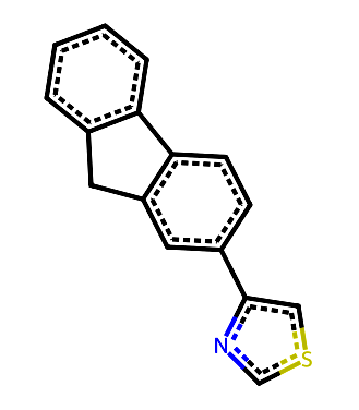 c1ccc2c(c1)Cc1cc(-c3cscn3)ccc1-2